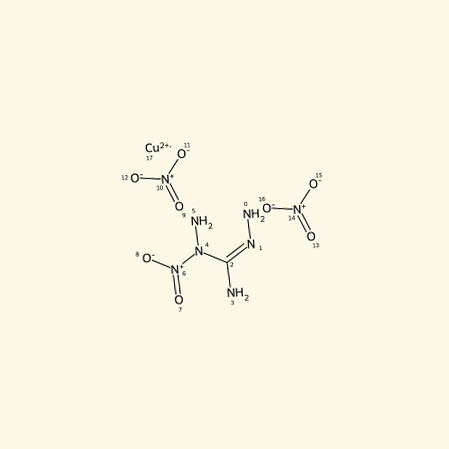 NN=C(N)N(N)[N+](=O)[O-].O=[N+]([O-])[O-].O=[N+]([O-])[O-].[Cu+2]